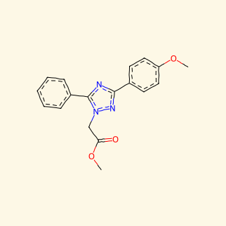 COC(=O)Cn1nc(-c2ccc(OC)cc2)nc1-c1ccccc1